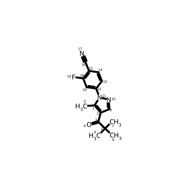 Cc1c(C(=O)C(C)(C)C)cnn1-c1ccc(C#N)c(F)c1